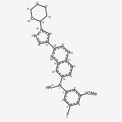 CCCN(c1cc(F)cc(OC)c1)c1ccc2ncc(-c3cnn(C4CCCCO4)c3)nc2c1